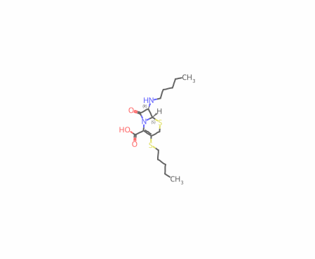 CCCCCN[C@@H]1C(=O)N2C(C(=O)O)=C(SCCCCC)CS[C@@H]12